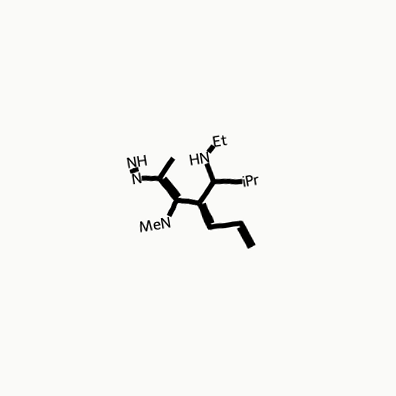 C=C/C=C(/C(NC)=C(\C)N=N)C(NCC)C(C)C